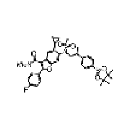 CNC(=O)c1c(-c2ccc(F)cc2)oc2cc(N(CC(C)c3ccc(B4OC(C)(C)C(C)(C)O4)cc3)S(C)(=O)=O)c(C3CC3)cc12